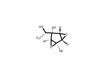 [C-]#[N+][C@]12O[C@H]1[C@@](O)([C@H](C)O)[C@@H]1O[C@@H]12